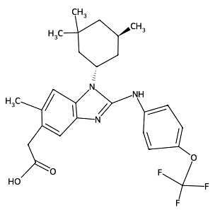 Cc1cc2c(cc1CC(=O)O)nc(Nc1ccc(OC(F)(F)F)cc1)n2[C@H]1C[C@H](C)CC(C)(C)C1